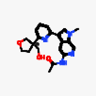 CC(=O)Nc1cc2c(-c3cccc([C@@]4(CO)CCOC4)n3)cn(C)c2cn1